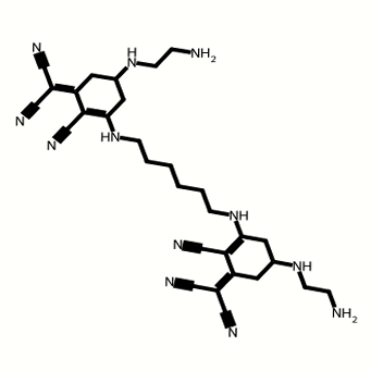 N#CC(C#N)=C1CC(NCCN)CC(NCCCCCCNC2=C(C#N)C(=C(C#N)C#N)CC(NCCN)C2)=C1C#N